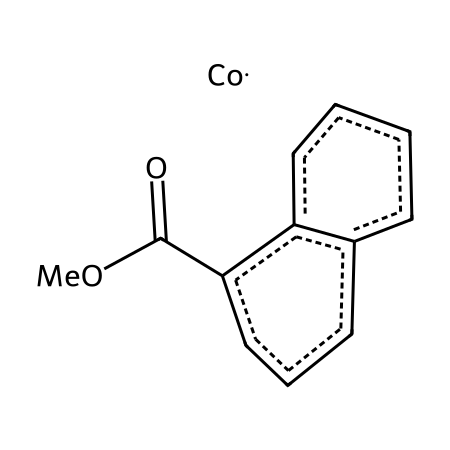 COC(=O)c1cccc2ccccc12.[Co]